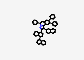 c1ccc(-c2cc3cc(-c4ccccc4)n4nc(-c5ccc(-c6cccc7ccccc67)c6ccccc56)c(-c5ccc6ccccc6c5)c4c3cc2-c2ccccc2)cc1